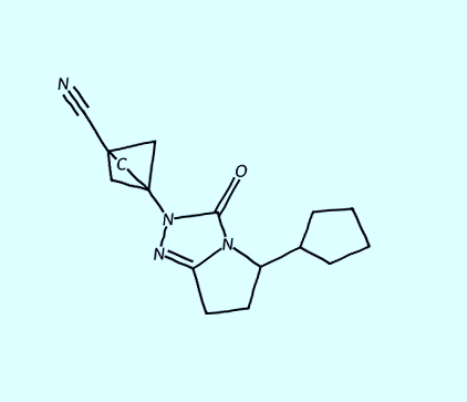 N#CC12CC(n3nc4n(c3=O)C(C3CCCC3)CC4)(C1)C2